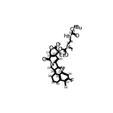 CC[C@@]1(OC(=O)N(C)CCNC(=O)OC(C)(C)C)C(=O)OCc2c1cc1n(c2=O)Cc2c-1nc1cc(F)c(C)c3c1c2CCC3